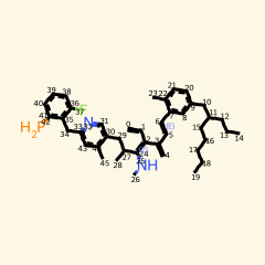 C=C/C(C(=C)/C=C/c1cc(CC(CCC)CCCCC)ccc1C)=C(/NC)C(C)Cc1cnc(Cc2c(F)cccc2P)cc1C